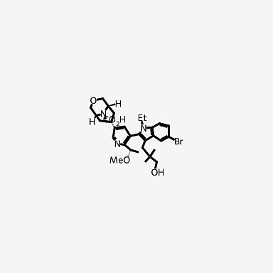 CCn1c(-c2cc([C@H]3C[C@H]4COC[C@@H](C3)N4C(=O)O)cnc2[C@H](C)OC)c(CC(C)(C)CO)c2cc(Br)ccc21